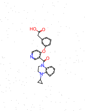 O=C(O)Cc1cccc(Oc2ccncc2C(=O)N2CCN(C3CC3)c3ccccc32)c1